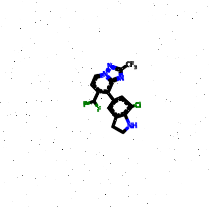 FC(F)c1ccn2nc(C(F)(F)F)nc2c1-c1cc(Cl)c2c(c1)CCN2